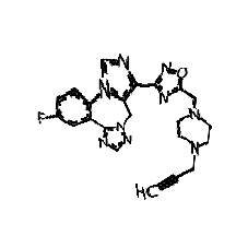 C#CCN1CCN(Cc2nc(-c3ncn4c3Cn3ncnc3-c3cc(F)ccc3-4)no2)CC1